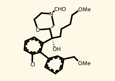 COCCCC[C@@](O)(c1cccc(Cl)c1-c1cccc(COC)c1)[C@H]1CN(C=O)CCO1